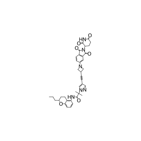 CCCC1CCc2c(NC(=O)C(C)(C)n3cc(C#CC4CN(c5ccc6c(c5)C(=O)N(C5CCC(=O)NC5=O)C6=O)C4)cn3)cccc2O1